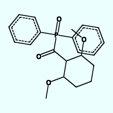 COC1CCCC(OC)C1C(=O)P(=O)(c1ccccc1)c1ccccc1